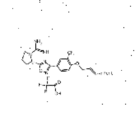 CCCCC/C=C/COc1ccc(-c2noc([C@@H]3CCCN3C(=N)N)n2)cc1C(F)(F)F.O=C(O)C(F)(F)F